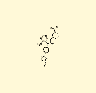 C=Cc1nc(-c2ccc(-n3c(=O)n(C4CCCN(C(=O)CC)C4)c4ncnc(N)c43)cc2)no1